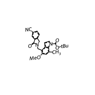 COc1cc(C)c2c(ccn2C(=O)OC(C)(C)C)c1CN1Cc2ccc(C#N)cc2C1=O